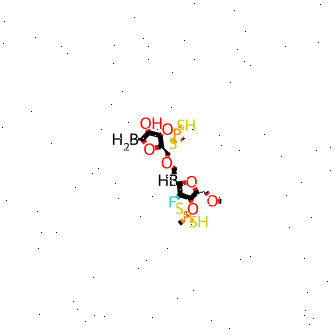 B[C@@H]1O[C@H](COCB[C@@H]2O[C@H](COC)C(OP(C)(=S)S)C2F)C(OP(C)(=S)S)C1O